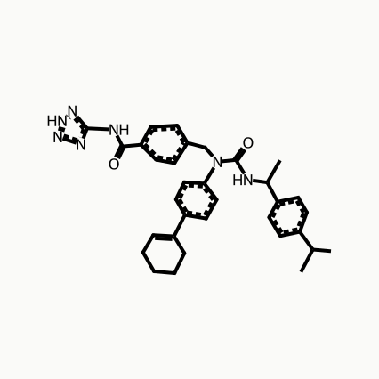 CC(C)c1ccc(C(C)NC(=O)N(Cc2ccc(C(=O)Nc3nn[nH]n3)cc2)c2ccc(C3=CCCCC3)cc2)cc1